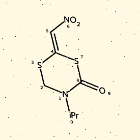 CC(C)N1CSC(=C[N+](=O)[O-])SC1=O